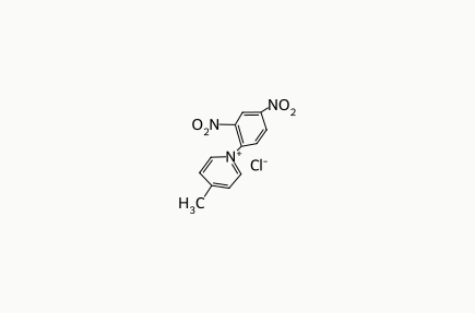 Cc1cc[n+](-c2ccc([N+](=O)[O-])cc2[N+](=O)[O-])cc1.[Cl-]